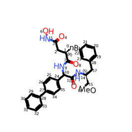 CCCC[C@H](CC(=O)NO)C(=O)NC(C(=O)N[C@H](COC)Cc1ccccc1)c1ccc(-c2ccccc2)cc1